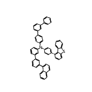 c1ccc(-c2cccc(-c3ccc(N(c4ccc(-c5cccc6sc7ccccc7c56)cc4)c4cccc(-c5cccc(-c6cccc7ccccc67)c5)c4)cc3)c2)cc1